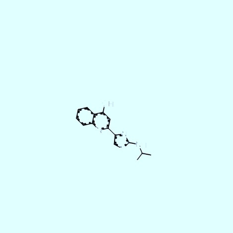 CC(C)Nc1nc(-c2cc(O)c3ccccc3n2)cs1